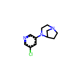 Clc1cncc(N2CCN3CCC2C3)c1